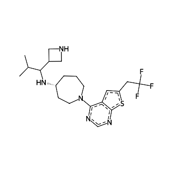 CC(C)C(N[C@@H]1CCCN(c2ncnc3sc(CC(F)(F)F)cc23)CC1)C1CNC1